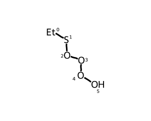 CCSOOOO